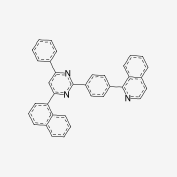 c1ccc(-c2cc(-c3cccc4ccccc34)nc(-c3ccc(-c4nccc5ccccc45)cc3)n2)cc1